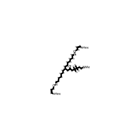 CCCCCC/C=C\CO/N=C/CCCCCCC(CCCCCC/C=N/OC/C=C\CCCCCC)CC(=O)CC(C)(C)C(C)(C)CCNC